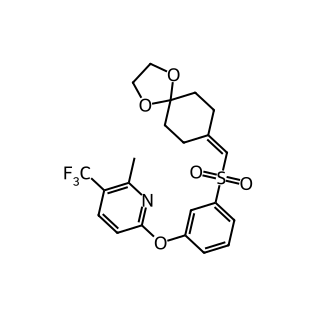 Cc1nc(Oc2cccc(S(=O)(=O)C=C3CCC4(CC3)OCCO4)c2)ccc1C(F)(F)F